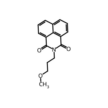 COCCCN1C(=O)c2cccc3cccc(c23)C1=O